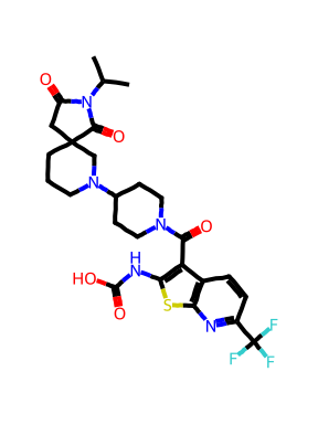 CC(C)N1C(=O)CC2(CCCN(C3CCN(C(=O)c4c(NC(=O)O)sc5nc(C(F)(F)F)ccc45)CC3)C2)C1=O